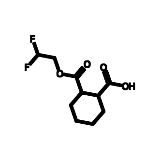 O=C(O)C1CCCCC1C(=O)OCC(F)F